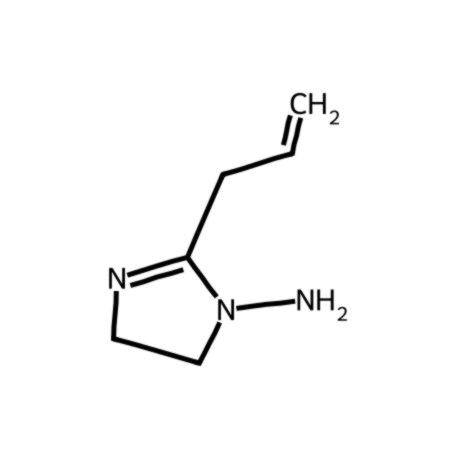 C=CCC1=NCCN1N